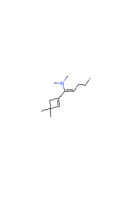 CCCC=C(C1=CC(C)(C)C1)N(C)C